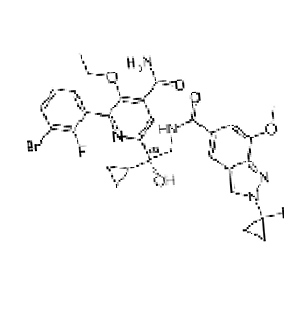 CCOc1c(C(N)=O)cc([C@@](O)(CNC(=O)c2cc(OC)c3nn(C4(F)CC4)cc3c2)C2CC2)nc1-c1cccc(Br)c1F